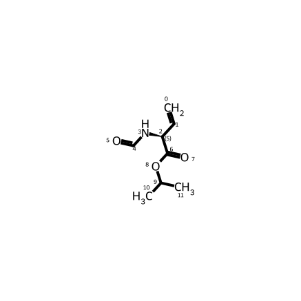 C=C[C@H](NC=O)C(=O)OC(C)C